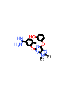 CCc1nc2c(Oc3cccc(O)c3)nc(Oc3cc(C(=N)N)ccc3C)nc2n1CC